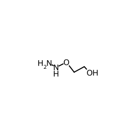 NNOCCO